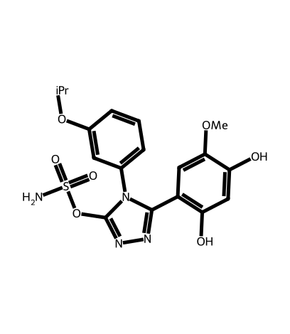 COc1cc(-c2nnc(OS(N)(=O)=O)n2-c2cccc(OC(C)C)c2)c(O)cc1O